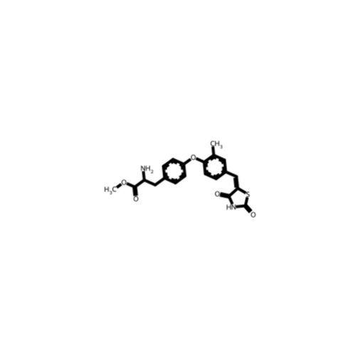 COC(=O)C(N)Cc1ccc(Oc2ccc(C=C3SC(=O)NC3=O)cc2C)cc1